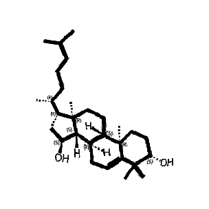 CC(C)CCC[C@@H](C)[C@H]1C[C@H](O)[C@H]2[C@@H]3CC=C4C(C)(C)[C@@H](O)CC[C@]4(C)[C@H]3CC[C@@]21C